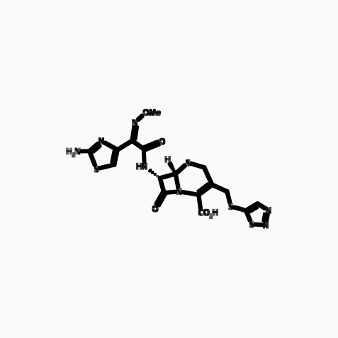 CO/N=C(\C(=O)N[C@H]1C(=O)N2C(C(=O)O)=C(CSc3cnns3)CS[C@@H]12)c1csc(N)n1